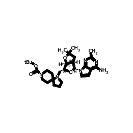 Cc1nc(N)c2ccn([C@@H]3O[C@H](CN4CCCC45CCN(C(=O)OC(C)(C)C)CC5)[C@H]4OC(C)(C)C[C@H]43)c2n1